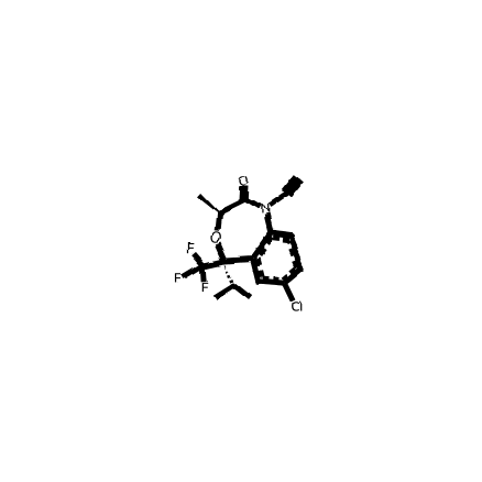 C#CN1C(=O)[C@H](C)O[C@](C(C)C)(C(F)(F)F)c2cc(Cl)ccc21